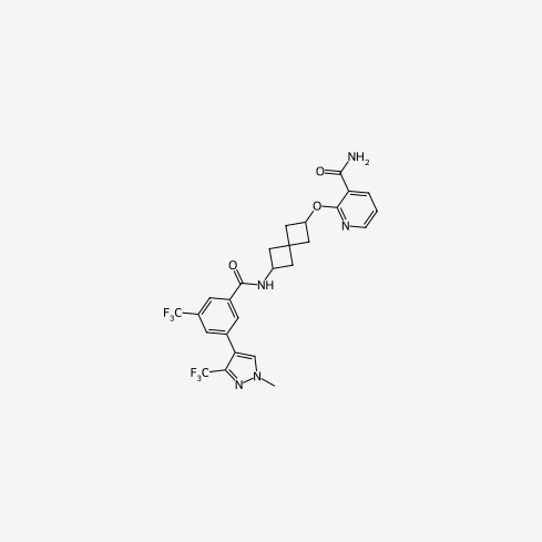 Cn1cc(-c2cc(C(=O)NC3CC4(C3)CC(Oc3ncccc3C(N)=O)C4)cc(C(F)(F)F)c2)c(C(F)(F)F)n1